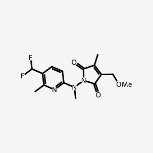 COCC1=C(C)C(=O)N(N(C)c2ccc(C(F)F)c(C)n2)C1=O